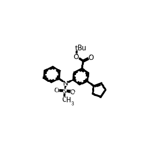 CC(C)(C)OC(=O)c1cc(C2=CCCC2)cc(N(c2ccccc2)S(C)(=O)=O)c1